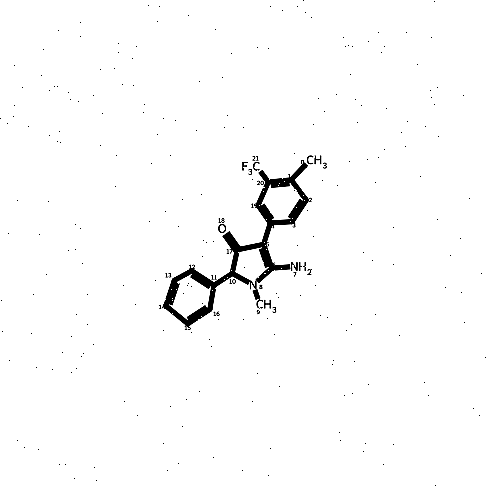 Cc1ccc(C2=C(N)N(C)C(c3ccccc3)C2=O)cc1C(F)(F)F